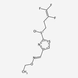 CCON=Cc1csc([S+]([O-])CCC(F)=C(F)F)n1